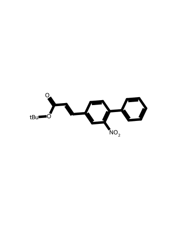 CC(C)(C)OC(=O)C=Cc1ccc(-c2ccccc2)c([N+](=O)[O-])c1